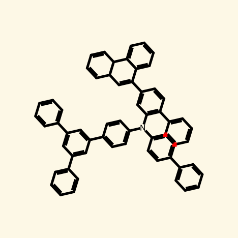 C1=CC2C=C(c3ccc(-c4ccccc4)c(N(c4ccc(-c5ccccc5)cc4)c4ccc(-c5cc(-c6ccccc6)cc(-c6ccccc6)c5)cc4)c3)c3ccccc3C2C=C1